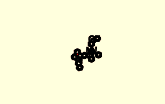 c1ccc(-c2nc(-c3ccc4oc5ccccc5c4c3)nc(-c3cc(-c4ccccc4)c(-n4c5ccccc5c5cc6ccccc6cc54)cc3-c3ccccc3)n2)cc1